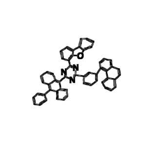 c1ccc(-c2c3ccccc3c(-c3nc(-c4cccc(-c5cccc6ccc7ccccc7c56)c4)nc(-c4cccc5c4oc4ccccc45)n3)c3ccccc23)cc1